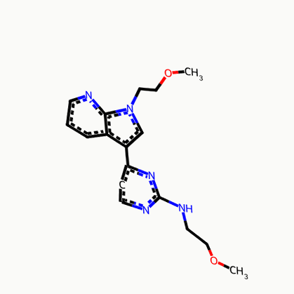 COCCNc1nccc(-c2cn(CCOC)c3ncccc23)n1